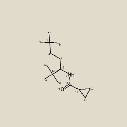 CC(C)(C)CCC(NC(=O)C1CC1)C(C)(C)C